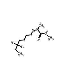 CCC(F)(F)CCCCSC(C)C(=O)OC